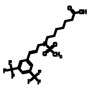 CS(=O)(=O)N(C/C=C/c1cc(C(F)(F)F)cc(C(F)(F)F)c1)CCCCCCC(=O)O